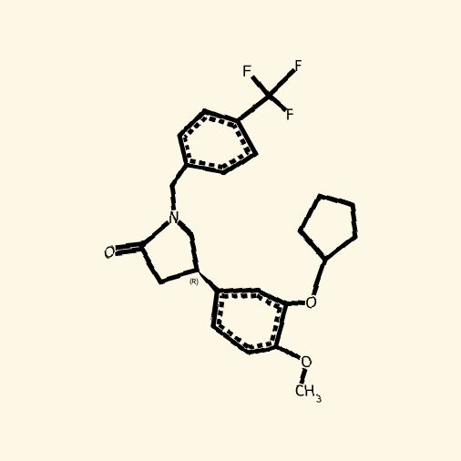 COc1ccc([C@H]2CC(=O)N(Cc3ccc(C(F)(F)F)cc3)C2)cc1OC1CCCC1